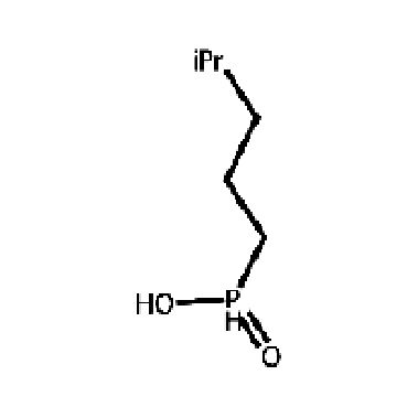 CC(C)CCC[PH](=O)O